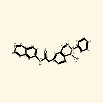 O=C(Cc1ccc2c(c1)C=NN(c1ccccc1)B2O)Nc1ccc2cnccc2c1